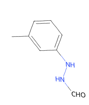 Cc1cccc(NNC=O)c1